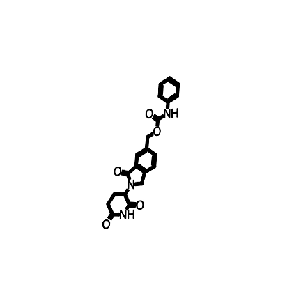 O=C1CCC(N2Cc3ccc(COC(=O)Nc4ccccc4)cc3C2=O)C(=O)N1